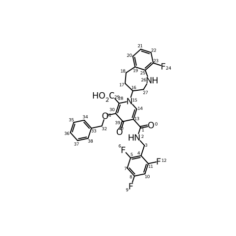 O=C(NCc1c(F)cc(F)cc1F)c1cn(C2CCc3cccc(F)c3NC2)c(C(=O)O)c(OCc2ccccc2)c1=O